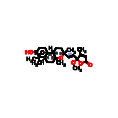 COC1(/C=C/[C@@]2(C)CC[C@@H]3[C@@]4(C)CC[C@@H](O)C(C)(C)[C@@H]4CC[C@@]3(C)O2)OC(=O)C=C1C